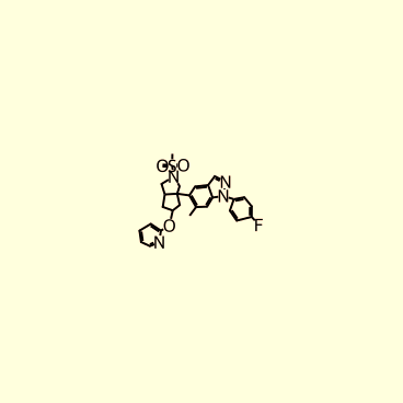 Cc1cc2c(cnn2-c2ccc(F)cc2)cc1C12CC(Oc3ccccn3)CC1CN(S(C)(=O)=O)C2